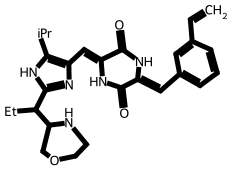 C=Cc1cccc(C=c2[nH]c(=O)c(=Cc3nc(C(CC)C4COCCN4)[nH]c3C(C)C)[nH]c2=O)c1